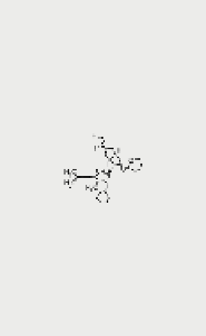 C=C(C)C#CC(=C)C(=C)[C@H](C#C[C@@H]1[C@H]2CC(=C(F)CO)C[C@H]2C[C@H]1OC1CCCCO1)OC1CCCCO1